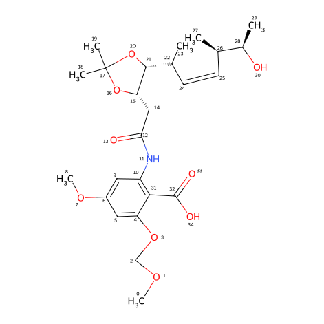 COCOc1cc(OC)cc(NC(=O)C[C@@H]2OC(C)(C)O[C@@H]2C(C)/C=C\[C@@H](C)[C@@H](C)O)c1C(=O)O